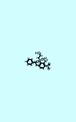 Nc1c([N+](=O)[O-])ccc(CCc2ccccc2)c1S(=O)(=O)CCO